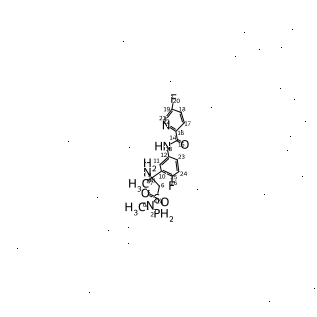 CN(P)S(=O)(=O)C[C@](C)(N)c1cc(NC(=O)c2ccc(F)cn2)ccc1F